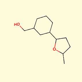 CC1CCC(C2CCCC(CO)C2)O1